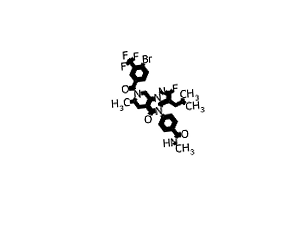 CNC(=O)c1ccc(-n2c(=O)c3c(n4nc(F)c(CC(C)C)c24)CN(C(=O)c2ccc(Br)c(C(F)(F)F)c2)C(C)C3)cc1